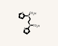 O=C(O)N(CCN(C(=O)O)c1cccs1)c1cccs1